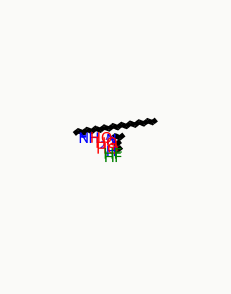 CCCCCCCCCCCCCCCCCC(N)CC.CCCNO.CCO.CCO.F.F